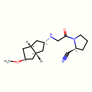 CO[C@@H]1C[C@H]2C[C@@H](NCC(=O)N3CCC[C@H]3C#N)C[C@H]2C1